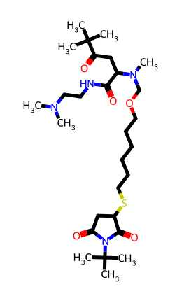 CN(C)CCNC(=O)C(CC(=O)C(C)(C)C)N(C)COCCCCCCSC1CC(=O)N(C(C)(C)C)C1=O